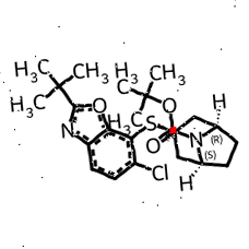 CC(C)(C)OC(=O)N1[C@@H]2CC[C@H]1C[C@@H](Sc1c(Cl)ccc3nc(C(C)(C)C)oc13)C2